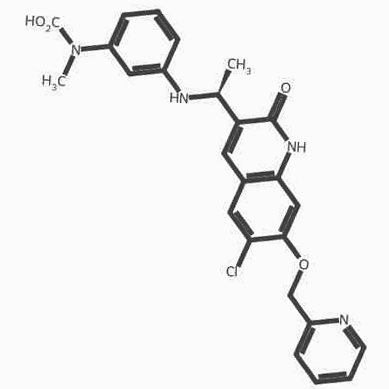 C[C@H](Nc1cccc(N(C)C(=O)O)c1)c1cc2cc(Cl)c(OCc3ccccn3)cc2[nH]c1=O